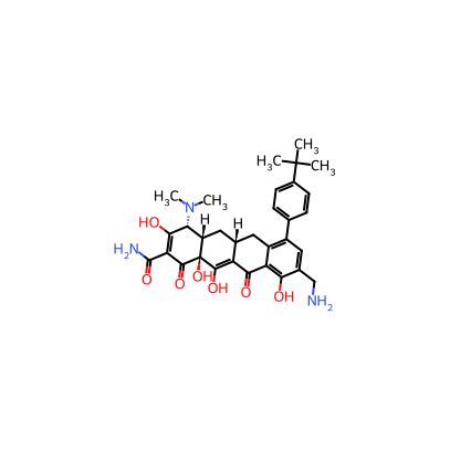 CN(C)[C@H]1C(O)=C(C(N)=O)C(=O)[C@@]2(O)C(O)=C3C(=O)c4c(O)c(CN)cc(-c5ccc(C(C)(C)C)cc5)c4C[C@H]3C[C@@H]12